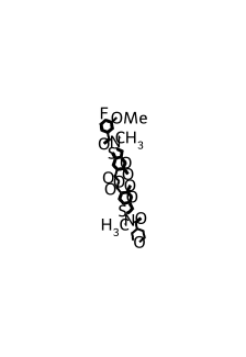 COc1cc(C(=O)N(C)c2cc3oc(=O)c(C(=O)OC(=O)c4cc5sc(N(C)C(=O)C6CCOCC6)cc5oc4=O)cc3s2)ccc1F